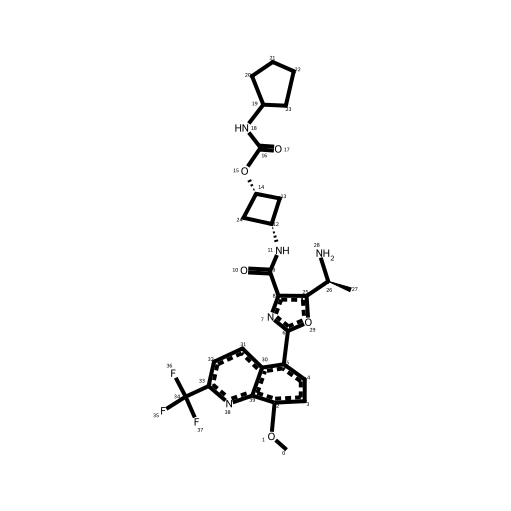 COc1ccc(-c2nc(C(=O)N[C@H]3C[C@@H](OC(=O)NC4CCCC4)C3)c([C@H](C)N)o2)c2ccc(C(F)(F)F)nc12